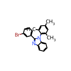 Cc1cc(C)c(-n2c(-c3cccc(Br)c3)nc3ccccc32)c(C)c1